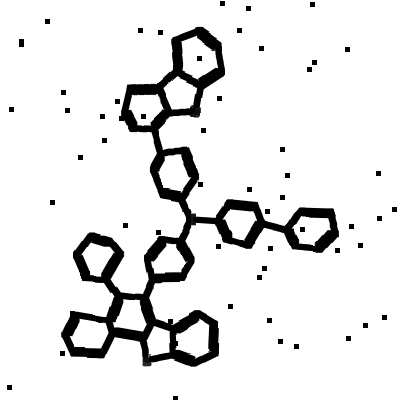 c1ccc(-c2ccc(N(c3ccc(-c4cccc5c4oc4ccccc45)cc3)c3ccc(-c4c(-c5ccccc5)c5ccccc5c5sc6ccccc6c45)cc3)cc2)cc1